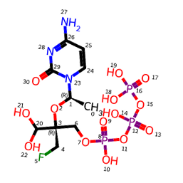 C[C@@H](O[C@](CF)(COP(=O)(O)OP(=O)(O)OP(=O)(O)O)C(O)O)n1ccc(N)nc1=O